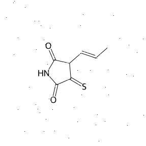 CC=CC1C(=O)NC(=O)C1=S